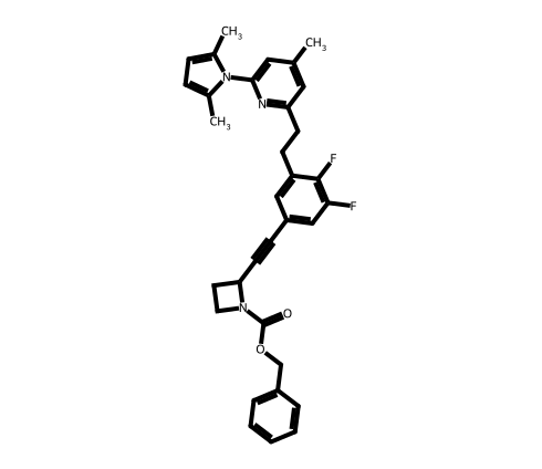 Cc1cc(CCc2cc(C#CC3CCN3C(=O)OCc3ccccc3)cc(F)c2F)nc(-n2c(C)ccc2C)c1